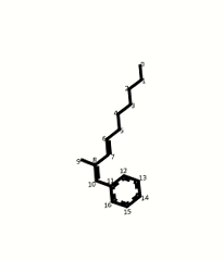 CCCCCCC=CC(C)=Cc1ccccc1